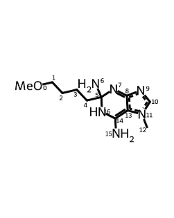 COCCCCC1(N)N=c2ncn(C)c2=C(N)N1